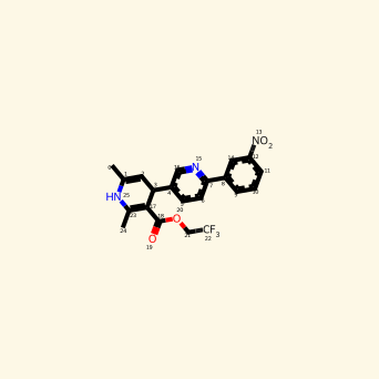 CC1=CC(c2ccc(-c3cccc([N+](=O)[O-])c3)nc2)C(C(=O)OCC(F)(F)F)=C(C)N1